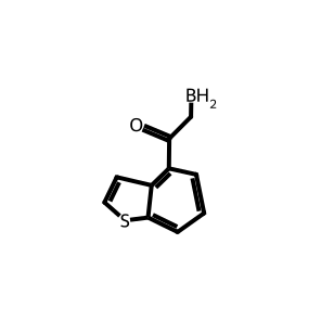 BCC(=O)c1cccc2sccc12